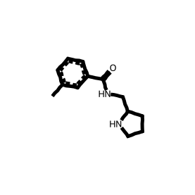 Cc1cccc(C(=O)NCC2CCCN2)c1